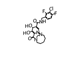 O=C(NCc1ccc(F)c(Cl)c1F)C1=CN2C(=C(O)C1O)C(=O)N1CCCCCN2C1